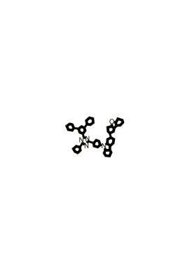 c1ccc(-c2cc(-c3ccccc3)cc(-c3nc(-c4ccccc4)nc(-c4ccc(-n5c6ccccc6c6ccc(-c7ccc8oc9ccccc9c8c7)cc65)cc4)n3)c2)cc1